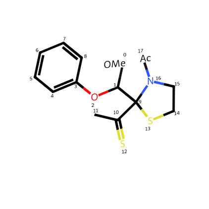 COC(Oc1ccccc1)C1(C(C)=S)SCCN1C(C)=O